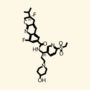 CCS(=O)(=O)c1ccc([C@@H](CCN2CCC(O)CC2)NC(=O)c2cc(F)c3nc4c(cc3c2)C[C@](F)(C(C)C)CC4)cn1